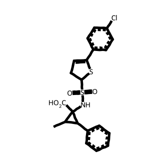 CC1C(c2ccccc2)C1(NS(=O)(=O)C1CC=C(c2ccc(Cl)cc2)S1)C(=O)O